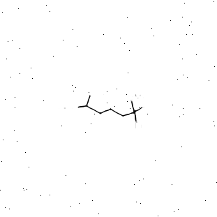 CCC(C)(CCCC(C)C=O)OC